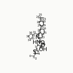 CC(C)c1ccc(CC(NC(=O)c2cc3ccc(-c4ccc(C(C)(C)C)cc4)cc3c(CC3CCCC3)n2)C(=O)O)s1